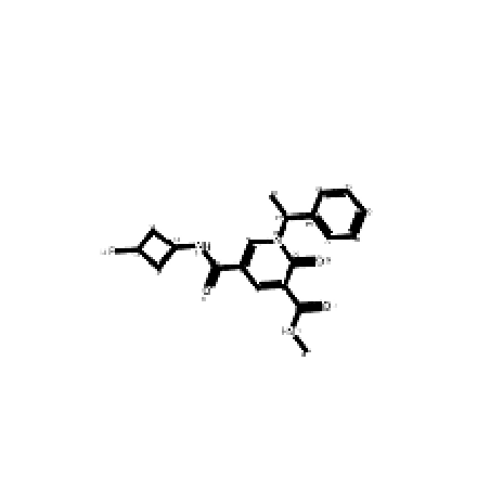 CNC(=O)c1cc(C(=O)NC2CC(F)C2)cn(C(C)c2ccccc2)c1=O